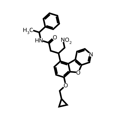 CC(NC(=O)CC(C[N+](=O)[O-])c1ccc(OCC2CC2)c2oc3cnccc3c12)c1ccccc1